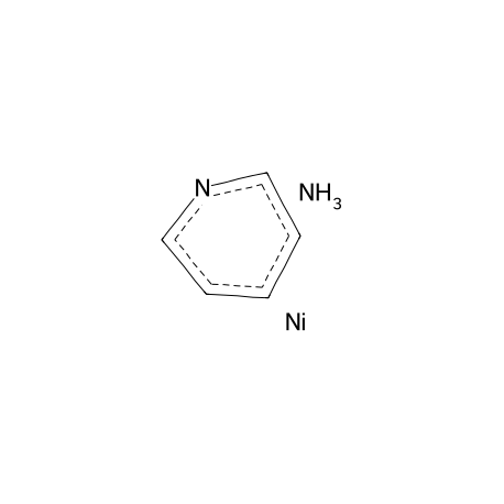 N.[Ni].c1ccncc1